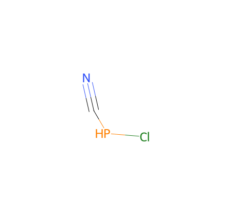 N#CPCl